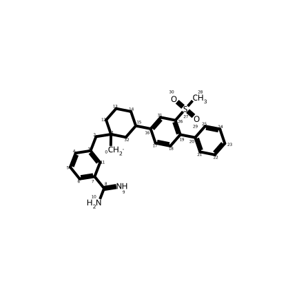 [CH2]C1(Cc2cccc(C(=N)N)c2)CCCC(c2ccc(-c3ccccc3)c(S(C)(=O)=O)c2)C1